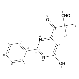 CC(C)(C=O)C(=O)c1cc(O)nc(-c2ccccn2)n1